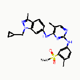 CNS(=O)(=O)c1cc(Nc2ncc(C)c(Nc3ccc4c(C)nn(CC5CC5)c4c3)n2)ccc1C